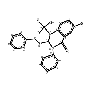 O=C1c2cc(Br)ccc2N(C(Cl)(Cl)Cl)C(SCc2ccccn2)N1c1ccccc1